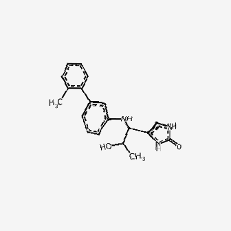 Cc1ccccc1-c1cccc(NC(c2c[nH]c(=O)[nH]2)C(C)O)c1